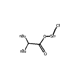 CCCCC(CCCC)C(=O)[O][Sn][Cl]